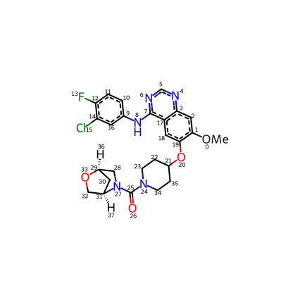 COc1cc2ncnc(Nc3ccc(F)c(Cl)c3)c2cc1OC1CCN(C(=O)N2C[C@H]3C[C@@H]2CO3)CC1